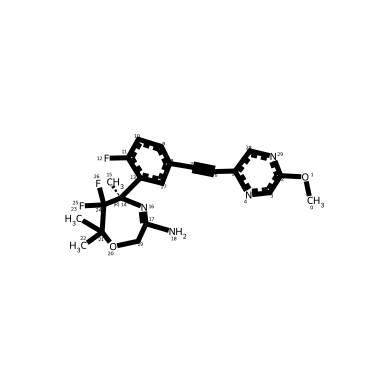 COc1cnc(C#Cc2ccc(F)c([C@@]3(C)N=C(N)COC(C)(C)C3(F)F)c2)cn1